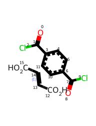 O=C(Cl)c1ccc(C(=O)Cl)cc1.O=C(O)/C=C/C(=O)O